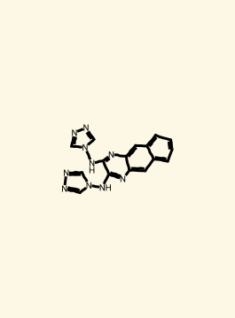 c1ccc2cc3nc(Nn4cnnc4)c(Nn4cnnc4)nc3cc2c1